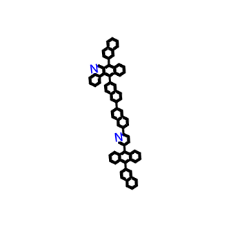 c1ccc2cc(-c3c4ccccc4c(-c4ccc(-c5ccc6cc(-c7ccc8cc(-c9c%10ccccc%10c(-c%10ccc%11ccccc%11c%10)c%10cnc%11ccccc%11c9%10)ccc8c7)ccc6c5)nc4)c4ccccc34)ccc2c1